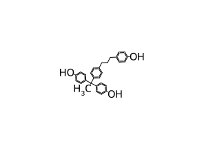 CC(c1ccc(O)cc1)(c1ccc(O)cc1)c1ccc(CCCc2ccc(O)cc2)cc1